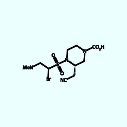 CNCC(Br)S(=O)(=O)N1CCN(C(=O)O)C[C@@H]1CC#N